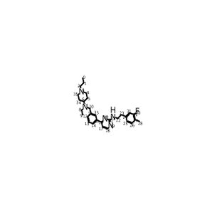 CCCN1CCC(N(CC)Cc2cccc(-c3ccnc(NCCc4ccc(C)c(F)c4)n3)c2)CC1